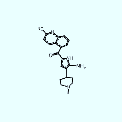 CN1CCC(c2cc(C(=O)c3cccc4nc(C#N)ccc34)[nH]c2N)CC1